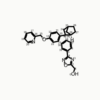 OCc1nc(-c2ccc([C@]3(c4ccc(OCc5ccccn5)cc4)CC4CC[C@@H]3C4)cc2)no1